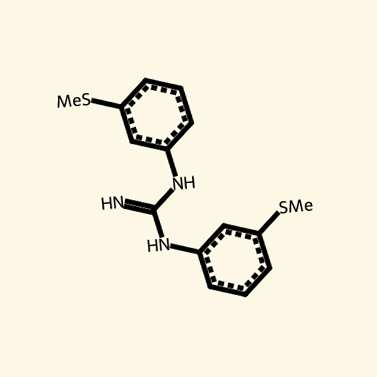 CSc1cccc(NC(=N)Nc2cccc(SC)c2)c1